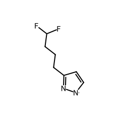 FC(F)CCCC1=N[N]C=C1